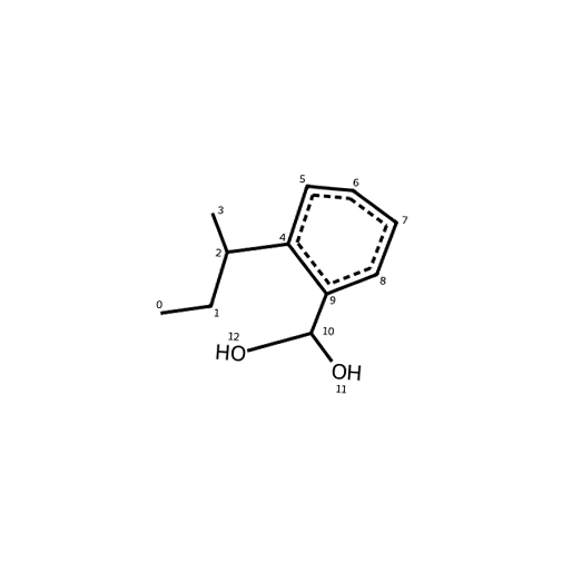 CCC(C)c1ccccc1C(O)O